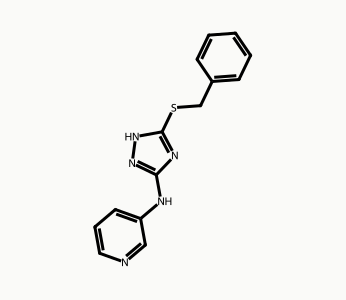 c1ccc(CSc2nc(Nc3cccnc3)n[nH]2)cc1